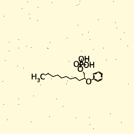 CCCCCCCCCC(COP(=O)(O)O)Oc1ccccc1